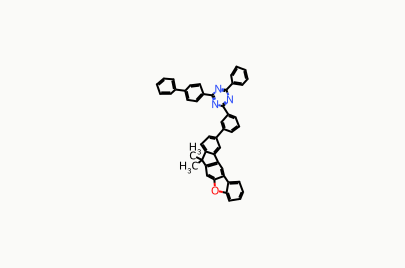 CC1(C)c2ccc(-c3cccc(-c4nc(-c5ccccc5)nc(-c5ccc(-c6ccccc6)cc5)n4)c3)cc2-c2cc3c(cc21)oc1ccccc13